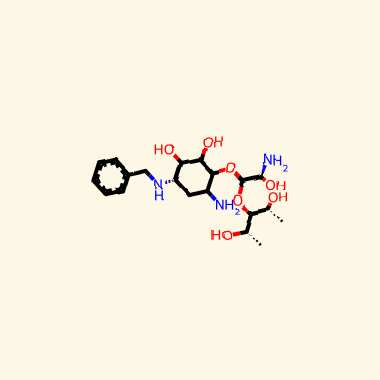 C[C@H](O)C(OC(OC1C(N)C[C@H](NCc2ccccc2)C(O)C1O)[C@@H](N)O)[C@@H](C)O